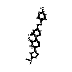 CN(C)C1CCN(c2ccc(-n3ccc(COc4ccc(Cl)nc4)cc3=O)c(=O)[nH]2)C1